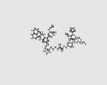 CCCC(c1ccc(CCC(=O)NCCCCN2CCC[C@H]2COc2nc3c(c(N4CCN[C@@H](CC#N)C4)n2)CCN(c2cccc4cccc(Cl)c24)C3)cc1)N(C)C(=O)/C(C#N)=C/c1nccs1